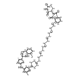 Cc1nc(Nc2ncc(C(=O)Nc3c(C)cccc3Cl)s2)cc(N2CCN(CCCOCCOCCOCCOCCOc3cccc4c3C(=O)N(C3CCC(=O)NC3=O)C4=O)CC2)n1